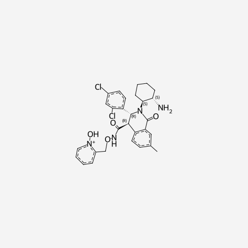 Cc1ccc2c(c1)C(=O)N([C@H]1CCCC[C@@H]1N)[C@@H](c1ccc(Cl)cc1Cl)[C@@H]2C(=O)NOCc1cccc[n+]1O